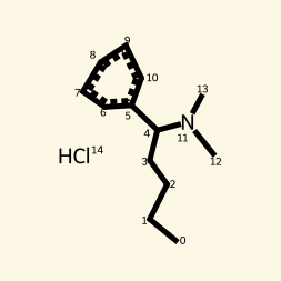 CCCCC(c1ccccc1)N(C)C.Cl